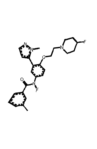 Cc1cccc(C(=O)N(F)c2ccc(OCCN3CCC(F)CC3)c(-c3ccnn3C)c2)c1